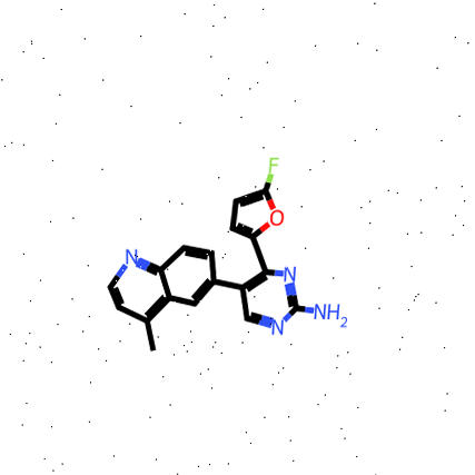 Cc1ccnc2ccc(-c3cnc(N)nc3-c3ccc(F)o3)cc12